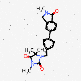 CN1Cc2cc(-c3ccc(CN4C(=O)N(C)C(=O)C4(C)C)cc3)ccc2C1=O